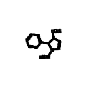 CCCCCCCCCN1C=CN(CCCCCCCC)C1c1ccccc1